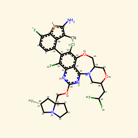 N#Cc1c(N)sc2c(F)ccc(-c3c(Cl)c4c5c(nc(OC[C@@]67CCCN6C[C@H](F)C7)nc5c3F)N3CC(CC(F)F)OCC3CO4)c12